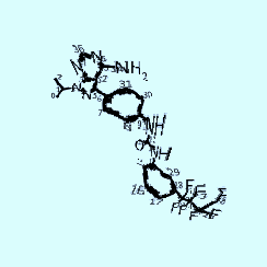 CC(C)n1nc(-c2ccc(NC(=O)Nc3cccc(C(F)(F)C(F)(F)C(F)(F)F)c3)cc2)c2c(N)ncnc21